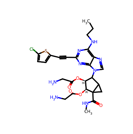 CCCNc1nc(C#Cc2ccc(Cl)s2)nc2c1ncn2C1C2CC2(C(=O)NC)[C@@H](OC(=O)CN)[C@H]1OC(=O)CN